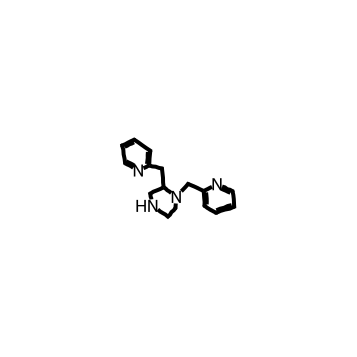 c1ccc(CC2CNCCN2Cc2ccccn2)nc1